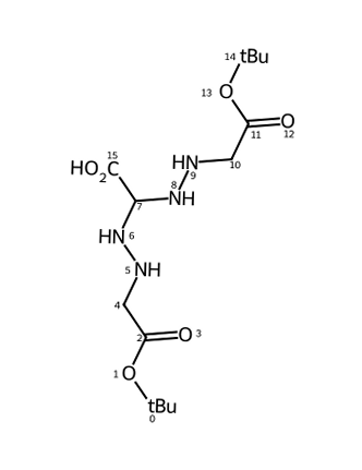 CC(C)(C)OC(=O)CNNC(NNCC(=O)OC(C)(C)C)C(=O)O